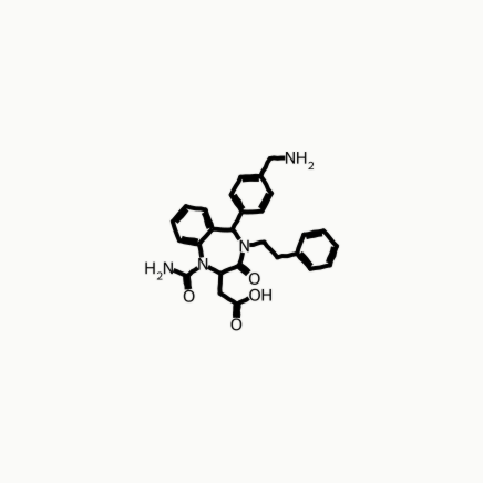 NCc1ccc(C2c3ccccc3N(C(N)=O)C(CC(=O)O)C(=O)N2CCc2ccccc2)cc1